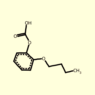 CCCCOc1ccccc1OC(=O)O